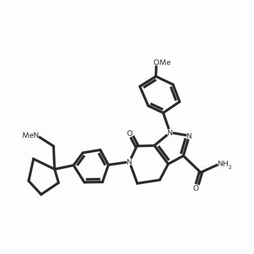 CNCC1(c2ccc(N3CCc4c(C(N)=O)nn(-c5ccc(OC)cc5)c4C3=O)cc2)CCCC1